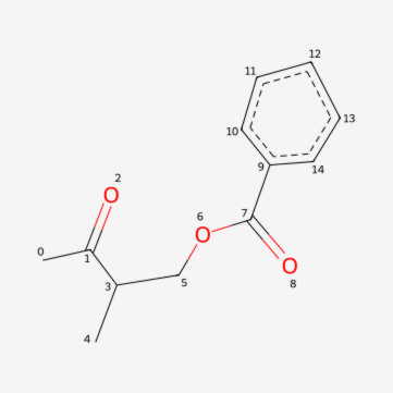 CC(=O)C(C)COC(=O)c1ccccc1